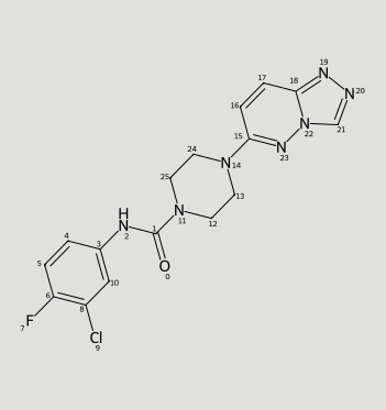 O=C(Nc1ccc(F)c(Cl)c1)N1CCN(c2ccc3nncn3n2)CC1